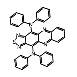 c1ccc(N(c2ccccc2)c2c3nsnc3c(N(c3ccccc3)c3ccccc3)c3nc4ccccc4nc23)cc1